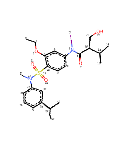 CCOc1cc(N(I)C(=O)[C@@H](CO)C(C)C)ccc1S(=O)(=O)N(C)c1cccc(C(C)C)c1